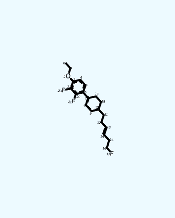 CCOc1ccc(C2CCC(CC/C=C/CCF)CC2)c(F)c1F